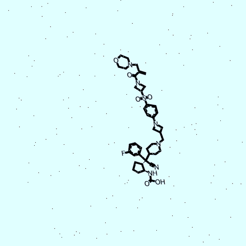 C=C(CN1CCOCC1)C(=O)N1CC(S(=O)(=O)c2ccc(N3CC(CN4CCC(C(C#N)(c5cccc(F)c5)[C@H]5CCC[C@@H]5NC(=O)O)CC4)C3)cc2)C1